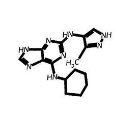 Cc1n[nH]cc1Nc1nc(NC2CCCCC2)c2nc[nH]c2n1